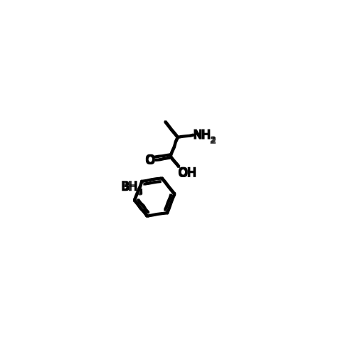 B.CC(N)C(=O)O.c1ccccc1